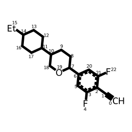 C#Cc1c(F)cc(C2CCC(C3CCC(CC)CC3)CO2)cc1F